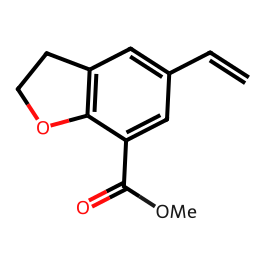 C=Cc1cc2c(c(C(=O)OC)c1)OCC2